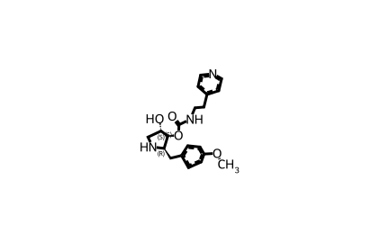 COc1ccc(C[C@H]2NC[C@H](O)[C@H]2OC(=O)NCCc2ccncc2)cc1